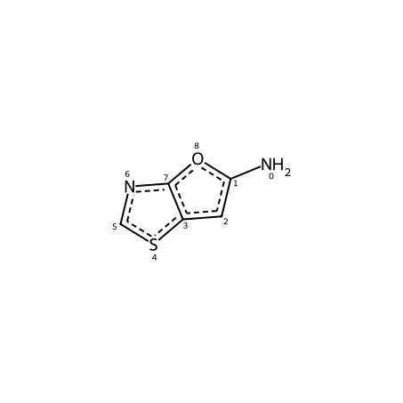 Nc1cc2scnc2o1